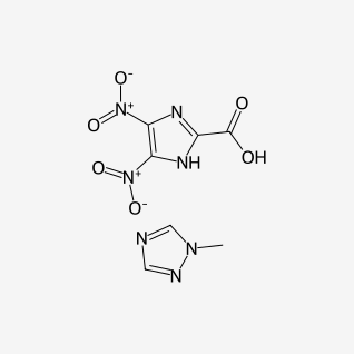 Cn1cncn1.O=C(O)c1nc([N+](=O)[O-])c([N+](=O)[O-])[nH]1